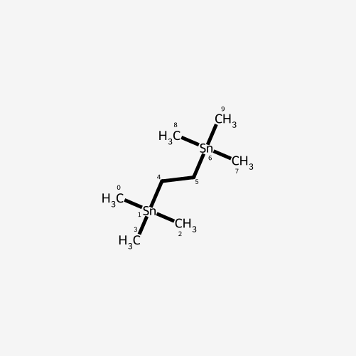 [CH3][Sn]([CH3])([CH3])[CH2][CH2][Sn]([CH3])([CH3])[CH3]